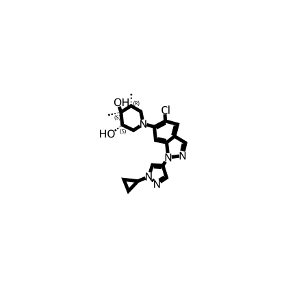 C[C@@H]1CN(c2cc3c(cnn3-c3cnn(C4CC4)c3)cc2Cl)C[C@H](O)[C@@]1(C)O